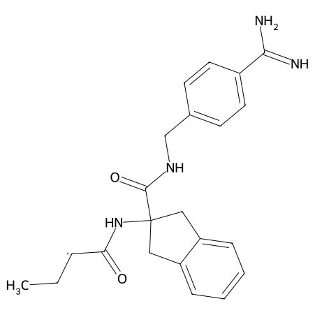 CC[CH]C(=O)NC1(C(=O)NCc2ccc(C(=N)N)cc2)Cc2ccccc2C1